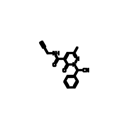 C#CCNC(=O)c1cc(C)nn(C(C#N)c2ccccc2)c1=O